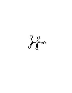 CCC(=O)S(=O)(=O)Cl